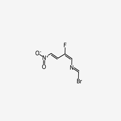 O=[N+]([O-])/C=C/C(F)=C\N=C\Br